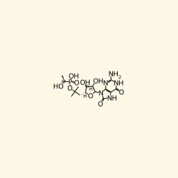 C[C@H](O)P(=O)(O)OC(C)(C)C[C@H]1OC(n2c(=O)[nH]c3c(=O)[nH]c(N)nc32)[C@H](O)[C@@H]1O